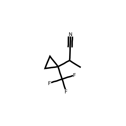 CC(C#N)C1(C(F)(F)F)CC1